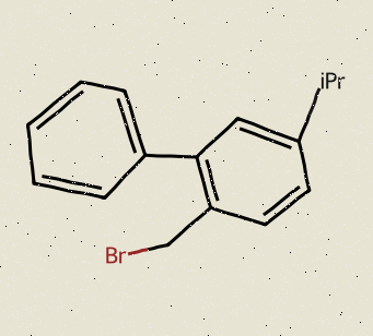 CC(C)c1ccc(CBr)c(-c2ccccc2)c1